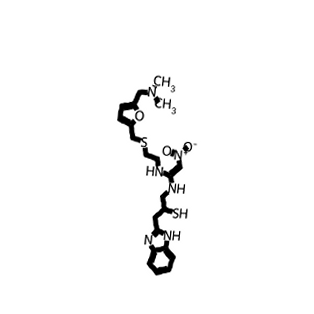 CN(C)Cc1ccc(CSCCNC(=C[N+](=O)[O-])NCC(S)Cc2nc3ccccc3[nH]2)o1